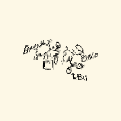 COC(=O)[C@@H]1C[C@@H](S(=O)(=O)c2ccc(Br)cc2Cl)CN1C(=O)OC(C)(C)C